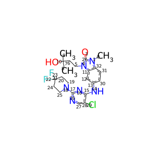 Cn1c(=O)n(CCC(C)(C)O)c2cc(Nc3nc(N4CCC(F)(F)CC4)ncc3Cl)ccc21